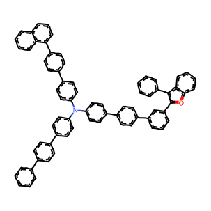 c1ccc(-c2ccc(-c3ccc(N(c4ccc(-c5ccc(-c6cccc(-c7oc8ccccc8c7-c7ccccc7)c6)cc5)cc4)c4ccc(-c5ccc(-c6cccc7ccccc67)cc5)cc4)cc3)cc2)cc1